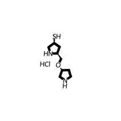 Cl.S[C@@H]1CN[C@H](CO[C@@H]2CCNC2)C1